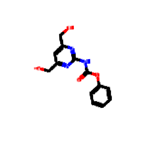 O=C(Nc1nc(CO)cc(CO)n1)Oc1ccccc1